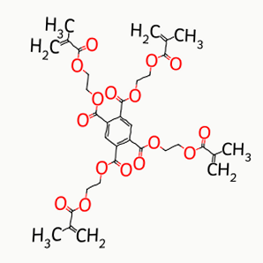 C=C(C)C(=O)OCCOC(=O)c1cc(C(=O)OCCOC(=O)C(=C)C)c(C(=O)OCCOC(=O)C(=C)C)cc1C(=O)OCCOC(=O)C(=C)C